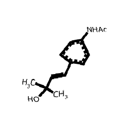 CC(=O)Nc1ccc(/C=C/C(C)(C)O)cc1